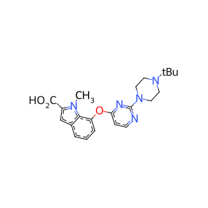 Cn1c(C(=O)O)cc2cccc(Oc3ccnc(N4CCN(C(C)(C)C)CC4)n3)c21